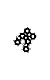 c1ccc2c(c1)-c1ccccc1C21c2ccc3c(oc4ccccc43)c2-c2c1ccc1oc3ccccc3c21